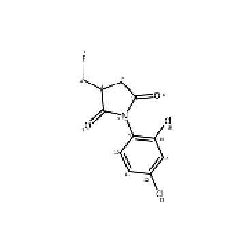 O=C1CC(CF)C(=O)N1c1ccc(Cl)cc1Cl